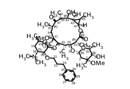 CO[C@]1(C)C[C@H](O[C@H]2[C@H](C)[C@@H](O[C@@H]3O[C@H](C)C[C@H](N(C)C)[C@H]3OCCCc3ccccc3)[C@@](C)(OC)C[C@@H](C)C(=O)[C@H](C)[C@@H](O)[C@@]3(O)C(C)[C@H]3OC(=O)[C@@H]2C)O[C@@H](C)[C@@H]1O